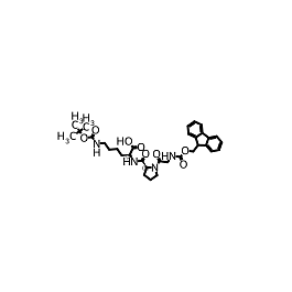 CC(C)(C)OC(=O)NCCCC[C@H](NC(=O)[C@@H]1CCCN1C(=O)CNC(=O)OCC1c2ccccc2-c2ccccc21)C(=O)O